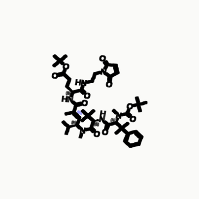 C/C(=C\[C@H](C(C)C)N(C)C(=O)[C@@H](NC(=O)[C@@H](N(C)C(=O)OC(C)(C)C)C(C)(C)c1ccccc1)C(C)(C)C)C(=O)N[C@@H](CCC(=O)OC(C)(C)C)C(=O)NCCN1C(=O)C=CC1=O